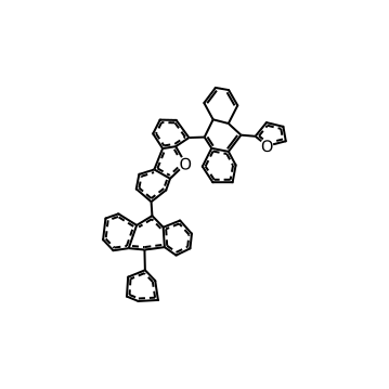 C1=CC2C(c3ccco3)=c3ccccc3=C(c3cccc4c3oc3cc(-c5c6ccccc6c(-c6ccccc6)c6ccccc56)ccc34)C2C=C1